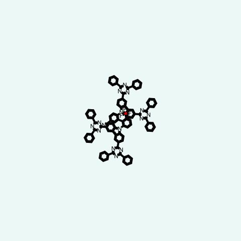 N#Cc1ccc(-n2c3ccc(-c4nc(-c5ccccc5)nc(-c5ccccc5)n4)cc3c3cc(-c4nc(-c5ccccc5)nc(-c5ccccc5)n4)ccc32)c(-c2c(-n3c4ccc(-c5nc(-c6ccccc6)nc(-c6ccccc6)n5)cc4c4cc(-c5nc(-c6ccccc6)nc(-c6ccccc6)n5)ccc43)cccc2C(F)(F)F)c1